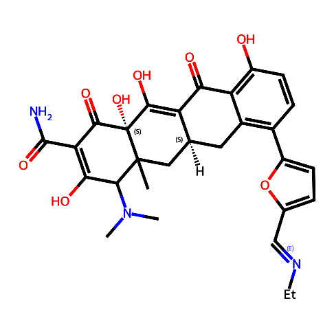 CC/N=C/c1ccc(-c2ccc(O)c3c2C[C@H]2CC4(C)C(N(C)C)C(O)=C(C(N)=O)C(=O)[C@@]4(O)C(O)=C2C3=O)o1